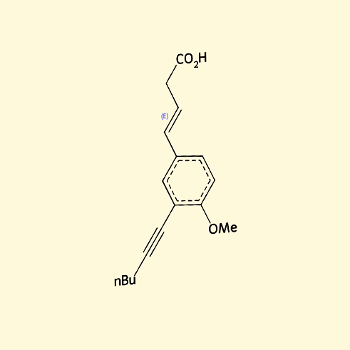 CCCCC#Cc1cc(/C=C/CC(=O)O)ccc1OC